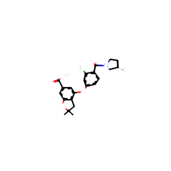 CC1(C)Cc2c(Oc3ccc(C(=O)N4CC[C@@H](F)C4)c(F)c3)cc(C(=O)O)cc2O1